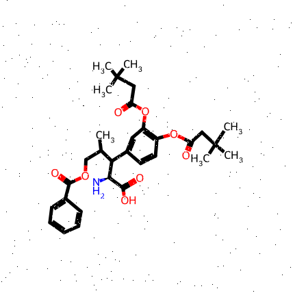 CC(COC(=O)c1ccccc1)C(c1ccc(OC(=O)CC(C)(C)C)c(OC(=O)CC(C)(C)C)c1)[C@H](N)C(=O)O